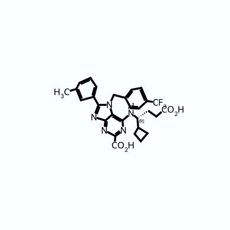 Cc1cccc(-c2nc3nc(C(=O)O)nc(N[C@H](CCC(=O)O)C4CCC4)c3n2Cc2ccc(C(F)(F)F)cc2)c1